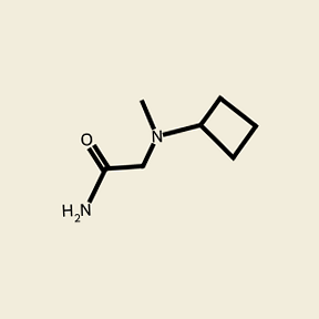 CN(CC(N)=O)C1CCC1